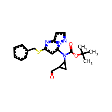 CC(C)(C)OC(=O)N(c1cc(SCc2ccccc2)nc2ccnn12)C1CC1C=O